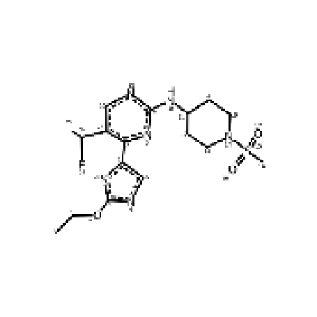 CCOc1ncc(-c2nc(NC3CCN(S(C)(=O)=O)CC3)ncc2C(F)F)s1